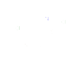 Clc1nc2cc(Cl)c3sc4ccccc4c3c2s1